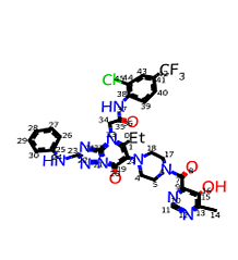 CCc1c(N2CCN(C(=O)c3ncnc(C)c3O)CC2)c(=O)n2nc(Nc3ccccc3)nc2n1CC(=O)Nc1ccc(C(F)(F)F)cc1Cl